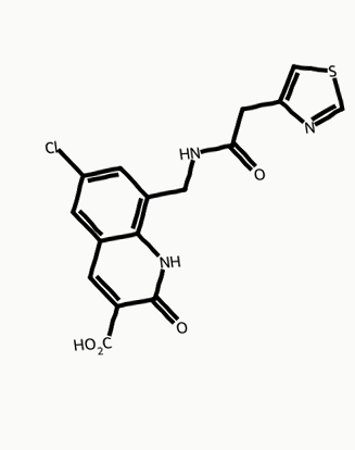 O=C(Cc1cscn1)NCc1cc(Cl)cc2cc(C(=O)O)c(=O)[nH]c12